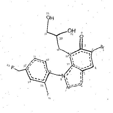 O=c1c(Br)cc2cnn(-c3ccc(F)cc3F)c2n1CC(O)CO